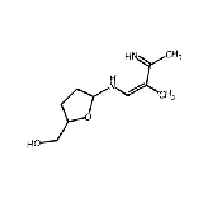 CC(=N)/C(C)=C\NC1CCC(CO)O1